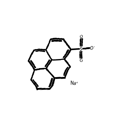 O=S(=O)([O-])c1ccc2ccc3cccc4ccc1c2c34.[Na+]